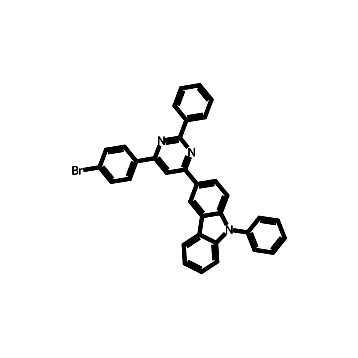 Brc1ccc(-c2cc(-c3ccc4c(c3)c3ccccc3n4-c3ccccc3)nc(-c3ccccc3)n2)cc1